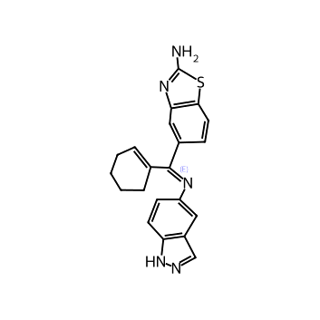 Nc1nc2cc(/C(=N/c3ccc4[nH]ncc4c3)C3=CCCCC3)ccc2s1